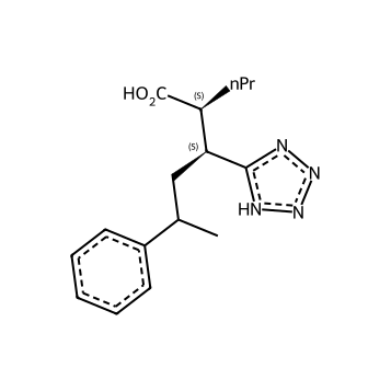 CCC[C@H](C(=O)O)[C@H](CC(C)c1ccccc1)c1nnn[nH]1